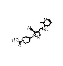 Cc1ncccc1NCc1cnn(C2CCN(C(=O)O)CC2)c1C#N